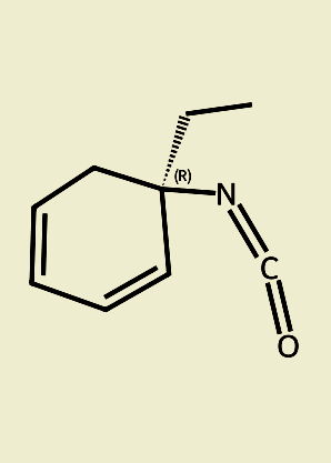 CC[C@]1(N=C=O)C=CC=CC1